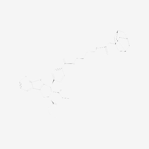 COC(=O)[C@H]1Cc2c([nH]c3ccccc23)[C@@H](c2ccc(C(=O)NCCCCNC(=O)CC34CC5CC(CC(C5)C3)C4)cc2)N1C(=O)CCl